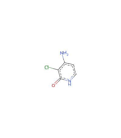 Nc1cc[nH]c(=O)c1Cl